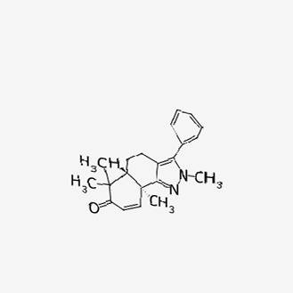 Cn1nc2c(c1-c1ccccc1)CC[C@H]1C(C)(C)C(=O)C=C[C@]21C